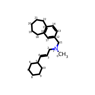 CN(C/C=C/C1CCCCC1)Cc1ccc2c(c1)CCCCC2